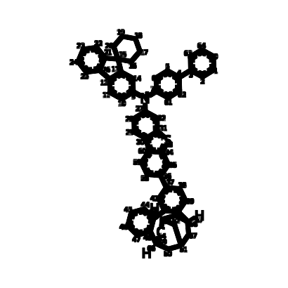 c1ccc(-c2ccc(N(c3ccc4c(c3)C3(CCCCC3)c3ccccc3-4)c3ccc4c(c3)sc3cc(-c5ccc6c(c5)-c5ccccc5[C@@H]5CC7C[C@@H](C5)C[C@H]6C7)ccc34)cc2)cc1